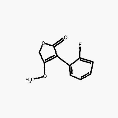 COC1=C(c2ccccc2F)C(=O)OC1